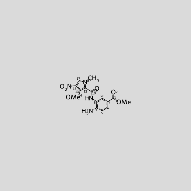 COC(=O)c1ccc(N)c(NC(=O)c2c(OC)c([N+](=O)[O-])cn2C)c1